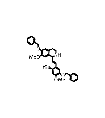 COc1cc(C(C)(C)C)c(C=CC2NCCc3cc(OCc4ccccc4)c(OC)cc32)cc1OCc1ccccc1